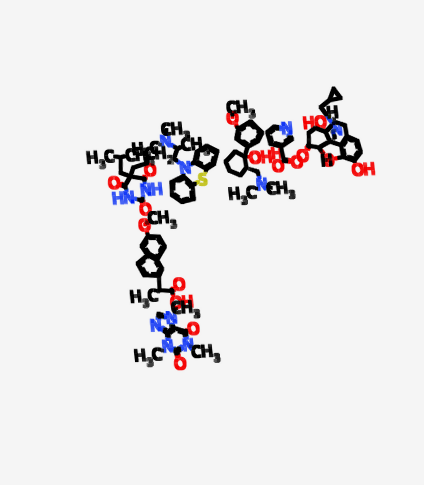 C=CCC1(CC(C)C)C(=O)NC(=O)NC1=O.CC(CN1c2ccccc2Sc2ccccc21)N(C)C.COc1ccc2cc([C@H](C)C(=O)O)ccc2c1.COc1cccc([C@@]2(O)CCCC[C@@H]2CN(C)C)c1.Cn1c(=O)c2c(ncn2C)n(C)c1=O.O=C(O)c1cccnc1.O=C1CC[C@@]2(O)[C@H]3Cc4ccc(O)c5c4[C@@]2(CCN3CC2CC2)[C@H]1O5